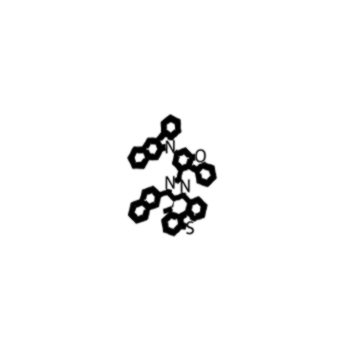 CC[C@@H]1C(c2ccc3ccccc3c2)=NC(c2cc(-n3c4ccccc4c4cc5ccccc5cc43)cc3oc4ccccc4c23)=NC1c1cccc2sc3ccccc3c12